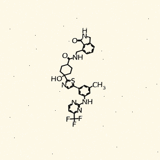 Cc1cc(Nc2nccc(C(F)(F)F)n2)cc(-c2cnc(C3(O)CCC(C(=O)NCc4cccc5c4C(=O)NC5)CC3)s2)c1